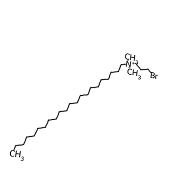 CCCCCCCCCCCCCCCCCCCCCC[N+](C)(C)CCCBr